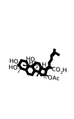 CC(=O)O[C@H]1C[C@@]2(C)[C@H](C[C@@H](O)[C@@H]3[C@@]4(C)CCC(O)(O)[C@@H](C)C4CC[C@@]32C)C1=C(CCC=C(C)C)C(=O)O